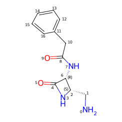 NC[C@@H]1NC(=O)[C@@H]1NC(=O)Cc1ccccc1